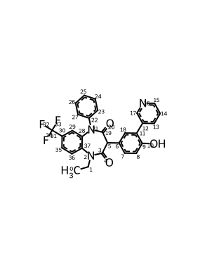 CCN1C(=O)C(c2ccc(O)c(-c3cccnc3)c2)C(=O)N(c2ccccc2)c2cc(C(F)(F)F)ccc21